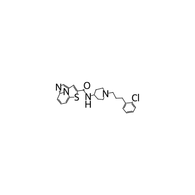 O=C(NC1CCN(CCCc2ccccc2Cl)CC1)C1=Cc2cnc3cccc(n23)S1